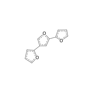 c1coc(-c2coc(-c3ccco3)c2)c1